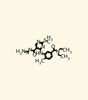 CCN(CC)C(=O)c1ccc(C)c(Nc2nc(SC)ncc2C(=O)N=NN)c1